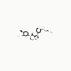 CCCNc1cc(-c2cnn3c2C(=O)N(c2ccc(C(F)(F)F)c(C)c2)C[C@@H]3C)ccn1